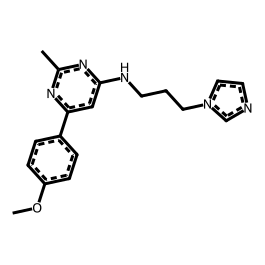 COc1ccc(-c2cc(NCCCn3ccnc3)nc(C)n2)cc1